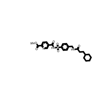 COC(=O)c1ccc(C(=O)NS(=O)(=O)c2ccc(CNC(=O)CCC3CCCCC3)cc2)cn1